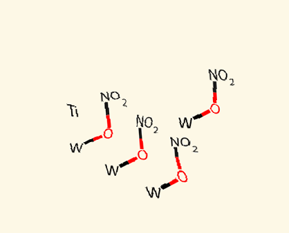 O=[N+]([O-])[O][W].O=[N+]([O-])[O][W].O=[N+]([O-])[O][W].O=[N+]([O-])[O][W].[Ti]